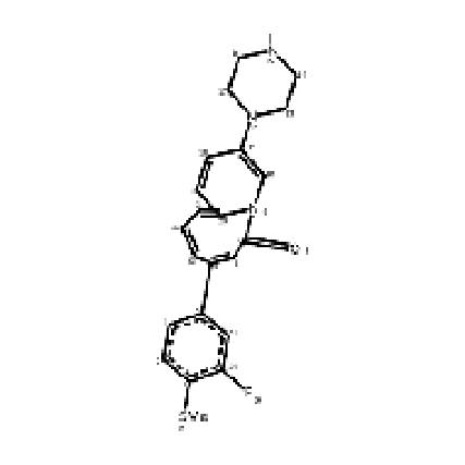 CSc1ccc(C2=C\C(=O)N3C=C(N4CCNCC4)C=C\C3=C/C=C/2)cc1F